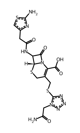 NC(=O)Cn1nnnc1SCC1=C(C(=O)O)N2C(=O)C(NC(=O)Cc3csc(N)n3)[C@H]2SC1